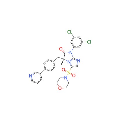 C[C@@]1(Cc2ccc(-c3cccnc3)cc2)C(=O)N(c2cc(Cl)cc(Cl)c2)c2ncc(S(=O)(=O)N3CCOCC3)n21